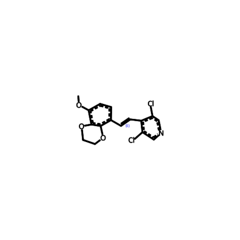 COc1ccc(/C=C/c2c(Cl)cncc2Cl)c2c1OCCO2